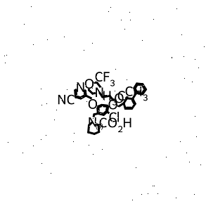 CC1(C)C(c2ccccc2)=CC=CC1(COc1cc(OCc2cncc(C#N)c2)c(CN2CCCC[C@H]2C(=O)O)cc1Cl)OCCCN1CCOC(C(F)(F)F)C1